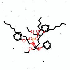 CCCCCCCCCC(COCC)(Oc1ccccc1)OP(OC(CCCCCCCCC)(COCC)Oc1ccccc1)OC(CCCCCCCCC)(COCC)Oc1ccccc1